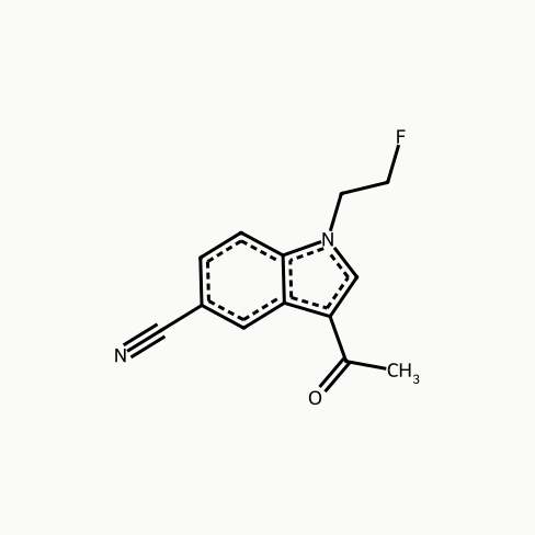 CC(=O)c1cn(CCF)c2ccc(C#N)cc12